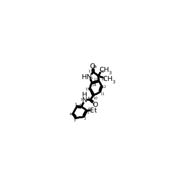 CCc1ccccc1NC(=O)c1ccc2c(c1)NC(=O)C2(C)C